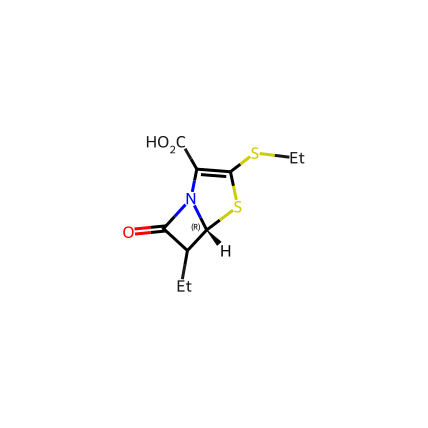 CCSC1=C(C(=O)O)N2C(=O)C(CC)[C@H]2S1